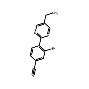 N#Cc1ccc(-c2ncc(CN)cn2)c(S)c1